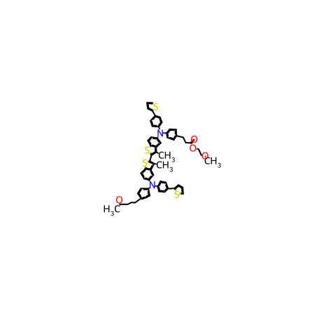 COCCOC(=O)CCc1ccc(N(c2ccc(-c3cccs3)cc2)c2ccc3sc(-c4sc5ccc(N(c6ccc(CCCC(C)=O)cc6)c6ccc(-c7cccs7)cc6)cc5c4C)c(C)c3c2)cc1